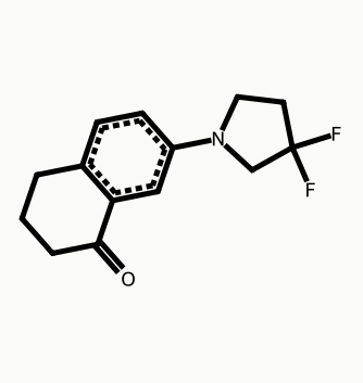 O=C1CCCc2ccc(N3CCC(F)(F)C3)cc21